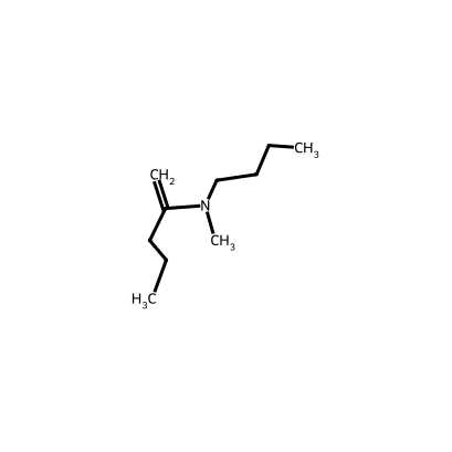 C=C(CCC)N(C)CCCC